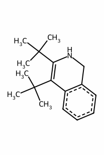 CC(C)(C)C1=C(C(C)(C)C)c2ccccc2CN1